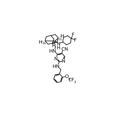 N#Cc1cnc(NCc2ccccc2OC(F)(F)F)nc1NC[C@@]12CC3C[C@H](C1)[C@@H](NC1CCC(F)(F)CC1)[C@@H](C3)C2